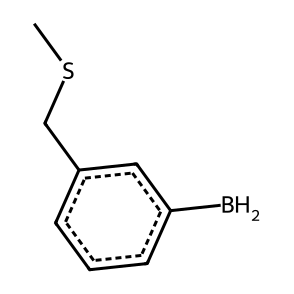 Bc1cccc(CSC)c1